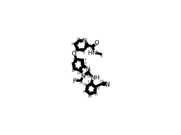 CNC(=O)c1cc(Oc2ccc3c(c2)nc(Nc2ccccc2C#N)n3CF)ccn1